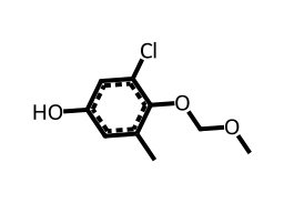 COCOc1c(C)cc(O)cc1Cl